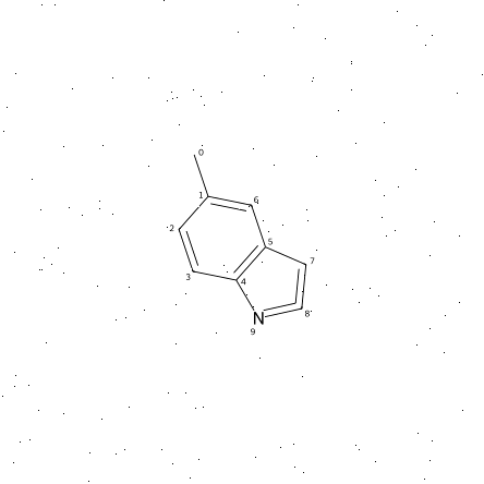 Cc1ccc2c(c1)C=C=N2